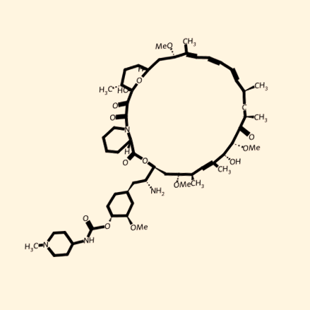 CO[C@H]1C[C@@H]2CC[C@@H](C)[C@@](O)(O2)C(=O)C(=O)N2CCCC[C@H]2C(=O)O[C@H]([C@H](N)C[C@@H]2CC[C@@H](OC(=O)NC3CCN(C)CC3)[C@H](OC)C2)C[C@@H](OC)[C@H](C)/C=C(\C)[C@@H](O)[C@@H](OC)C(=O)[C@H](C)C[C@H](C)/C=C/C=C/C=C/1C